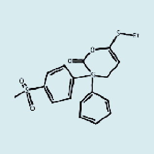 CCSC1=CC[Si](c2ccccc2)(c2ccc(S(C)(=O)=O)cc2)C(=O)O1